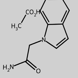 CC(=O)O.NC(=O)Cn1ccc2ccccc21